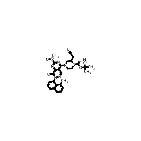 Cc1cccc2cccc(-n3ncc4c(N5CCN(C(=O)OC(C)(C)C)C(CC#N)C5)nc([S+](C)[O-])nc4c3=O)c12